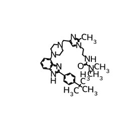 Cc1nc(CN2CCN(c3cccc4[nH]c(-c5ccc(C(C)(C)C)cc5)nc34)CC2)cn1CCNC(=O)N(C)C